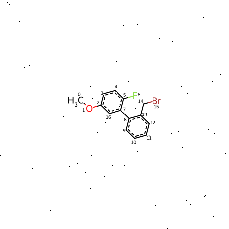 COc1ccc(F)c(-c2cc[c]cc2CBr)c1